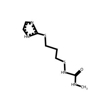 CNC(=O)NSCCCSc1ncc[nH]1